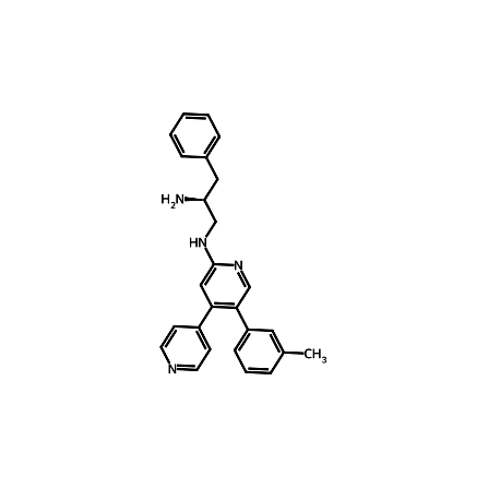 Cc1cccc(-c2cnc(NC[C@@H](N)Cc3ccccc3)cc2-c2ccncc2)c1